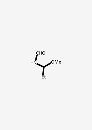 [CH2]CC(NC=O)OC